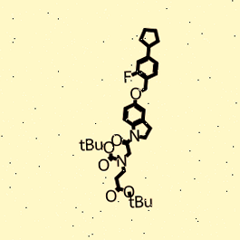 CC(C)(C)OC(=O)CCN(CC(=O)N1CCc2cc(OCc3ccc(C4CCCC4)cc3F)ccc21)C(=O)OC(C)(C)C